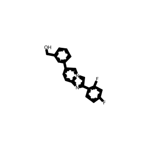 OCc1cccc(-c2ccc3nc(-c4ccc(F)cc4F)cn3c2)c1